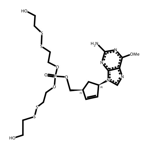 COc1nc(N)nc2c1ncn2[C@H]1C=C[C@@H](COP(=O)(OCCSSCCO)OCCSSCCO)C1